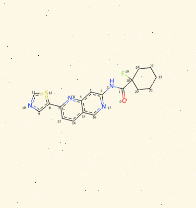 O=C(Nc1cc2nc(-c3cncs3)ccc2cn1)C1(F)CCCCC1